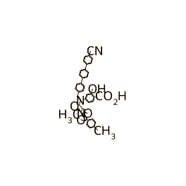 Cc1ccc(S(=O)(=O)N(C)CC(=O)N(Cc2ccc(-c3ccc(-c4ccc(C#N)cc4)cc3)cc2)c2ccc(C(=O)O)c(O)c2)cc1